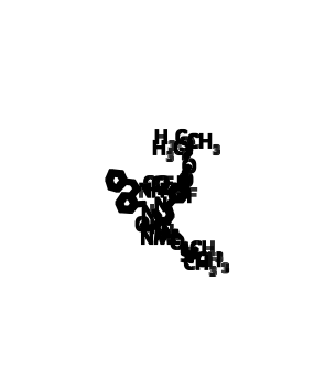 CNC(=O)c1nn(COCC[Si](C)(C)C)c2cc(-c3cc(F)c(OCOCC[Si](C)(C)C)cc3CC(F)(F)F)nc(NCc3ccccc3C(Cc3ccccc3)NC(=O)O)c12